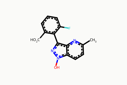 Cc1ccc2c(n1)c(-c1c(F)cccc1C(=O)O)nn2O